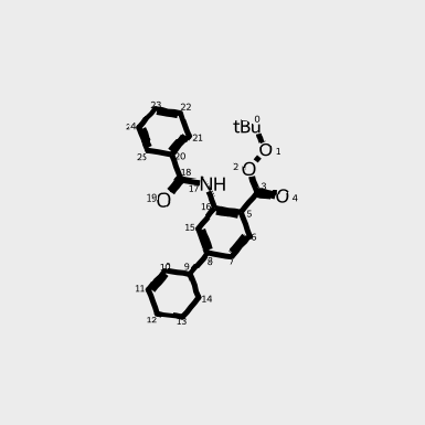 CC(C)(C)OOC(=O)c1ccc(C2C=CCCC2)cc1NC(=O)c1ccccc1